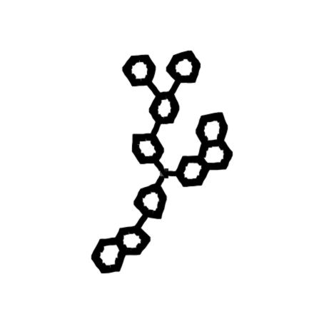 c1ccc(-c2ccc(-c3cccc(N(c4ccc(-c5ccc6ccccc6c5)cc4)c4ccc5ccc6ccccc6c5c4)c3)cc2-c2ccccc2)cc1